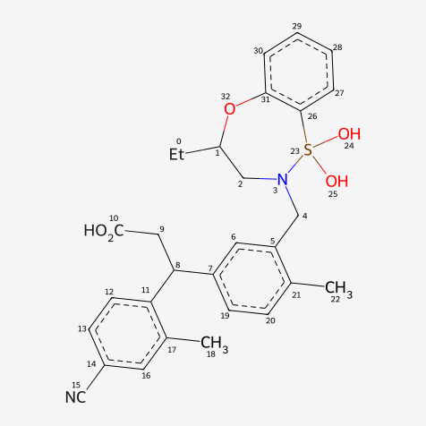 CCC1CN(Cc2cc(C(CC(=O)O)c3ccc(C#N)cc3C)ccc2C)S(O)(O)c2ccccc2O1